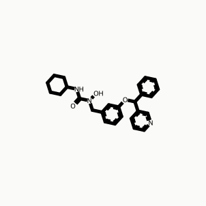 O=C(NC1CCCCC1)N(O)Cc1cccc(OC(c2ccccc2)c2cccnc2)c1